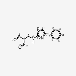 O=PC(CNc1nc(-c2ccccc2)cs1)P=O